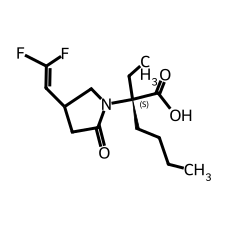 CCCC[C@@](CC)(C(=O)O)N1CC(C=C(F)F)CC1=O